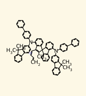 C=C/C=C\C1=C(C)C2(c3ccccc3-c3c(N(c4ccc(-c5ccccc5)cc4)c4ccc5c(c4)C(C)(C)c4ccccc4-5)cccc32)c2cccc(N(c3ccc(-c4ccccc4)cc3)c3ccc4c(c3)C(C)(C)c3ccccc3-4)c21